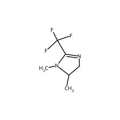 CC1CN=C(C(F)(F)F)N1C